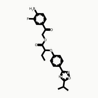 Bc1ccc(C(=O)COC(=O)C(CC)Oc2ccc(-c3noc(C(C)C)n3)cc2)cc1F